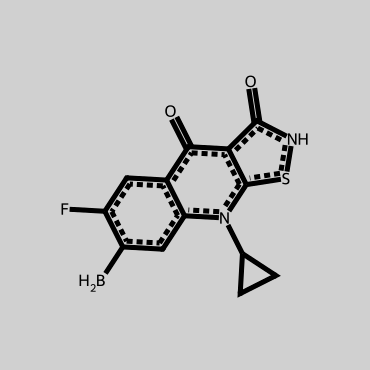 Bc1cc2c(cc1F)c(=O)c1c(=O)[nH]sc1n2C1CC1